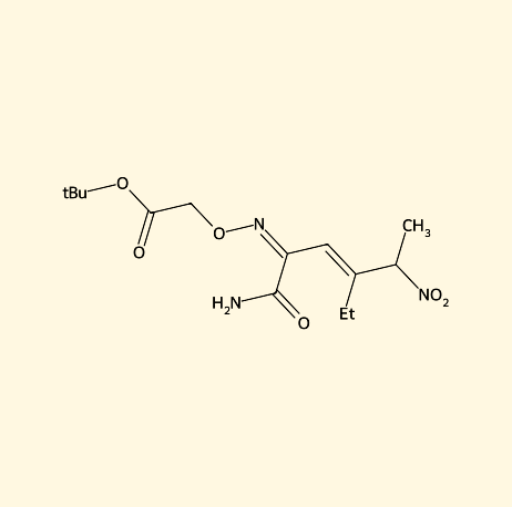 CC/C(=C\C(=N\OCC(=O)OC(C)(C)C)C(N)=O)C(C)[N+](=O)[O-]